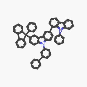 c1ccc(-c2cccc(-n3c4ccc(-c5cccc6c7ccccc7n(-c7ccccc7)c56)cc4c4cc(C5(c6ccccc6)c6ccccc6-c6ccccc65)ccc43)c2)cc1